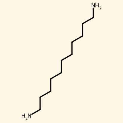 NCCCCCCCCCCCN